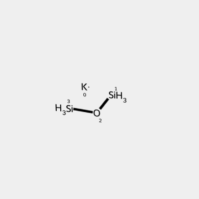 [K].[SiH3]O[SiH3]